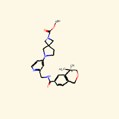 CC(C)(C)OC(=O)N1CC2(CCN(c3ccnc(CNC(=O)c4ccc5c(c4)[C@](C)(C#N)COC5)c3)C2)C1